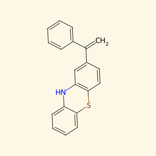 C=C(c1ccccc1)c1ccc2c(c1)Nc1ccccc1S2